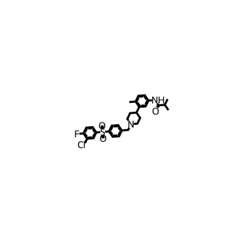 Cc1ccc(NC(=O)C(C)C)cc1C1CCN(Cc2ccc(S(=O)(=O)c3ccc(F)c(Cl)c3)cc2)CC1